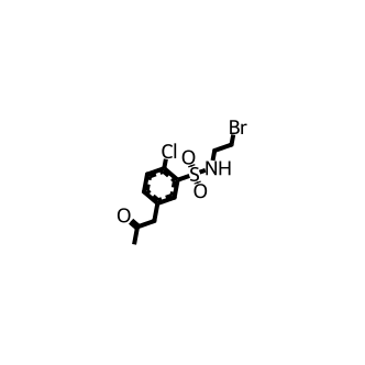 CC(=O)Cc1ccc(Cl)c(S(=O)(=O)NCCBr)c1